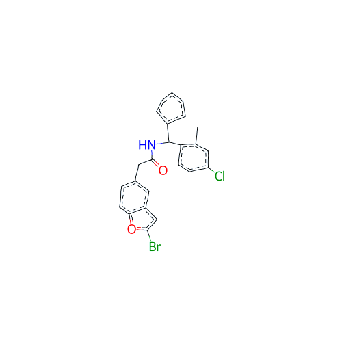 Cc1cc(Cl)ccc1C(NC(=O)Cc1ccc2oc(Br)cc2c1)c1ccccc1